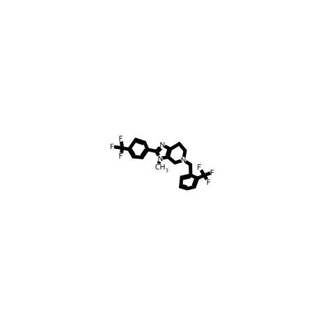 Cn1c(-c2ccc(C(F)(F)F)cc2)nc2c1CN(Cc1ccccc1C(F)(F)F)CC2